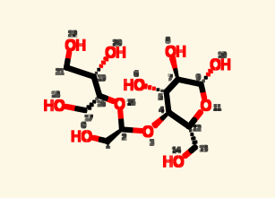 OC[C@H](O[C@H]1[C@H](O)[C@@H](O)[C@H](O)O[C@@H]1CO)O[C@H](CO)[C@@H](O)CO